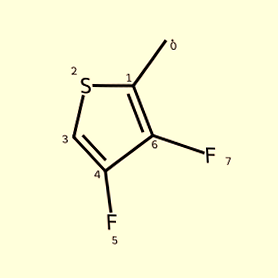 [CH2]c1scc(F)c1F